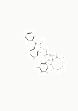 O=C(CN1C(=O)C(c2ccccc2)c2ccccc21)NC1(Cc2ccccc2)CCCCCCC1